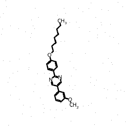 CCCCCCCCOc1ccc(-c2ncc(-c3cccc(OC)c3)cn2)cc1